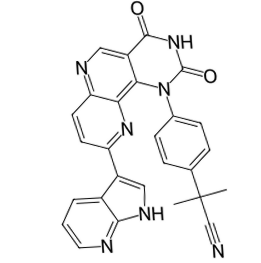 CC(C)(C#N)c1ccc(-n2c(=O)[nH]c(=O)c3cnc4ccc(-c5c[nH]c6ncccc56)nc4c32)cc1